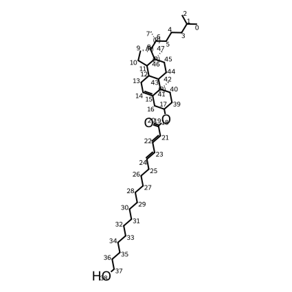 CC(C)CCC[C@@H](C)[C@H]1CCC2C3CC=C4CC(OC(=O)C=CC=CCCCCCCCCCCCCCO)CC[C@]4(C)C3CC[C@@]21C